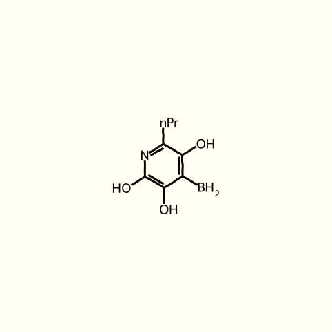 Bc1c(O)c(O)nc(CCC)c1O